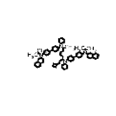 C=C(C)N(c1ccc(-c2ccc(N(/C(C)=C\C=C/C/C(=C/C=C3/C=CC3)N(c3ccccc3)c3ccc(-c4ccc(N(C(=C)C)c5ccc6ccccc6c5)cc4)cc3)c3ccccc3)cc2)cc1)c1ccc2ccccc2c1